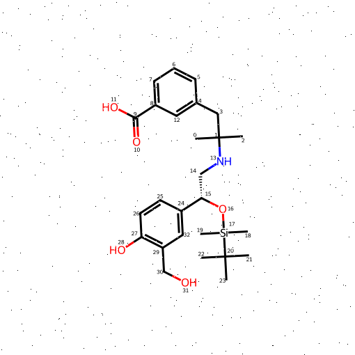 CC(C)(Cc1cccc(C(=O)O)c1)NC[C@H](O[Si](C)(C)C(C)(C)C)c1ccc(O)c(CO)c1